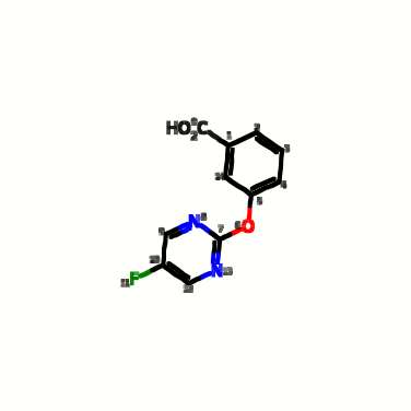 O=C(O)c1cccc(Oc2ncc(F)cn2)c1